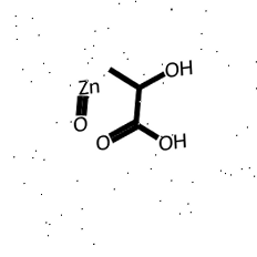 CC(O)C(=O)O.[O]=[Zn]